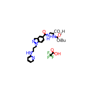 CC(C)COC(=O)N[C@@H](CNC(=O)c1ccc2c(cnn2CCCNc2ccccn2)c1)C(=O)O.O=C(O)C(F)(F)F